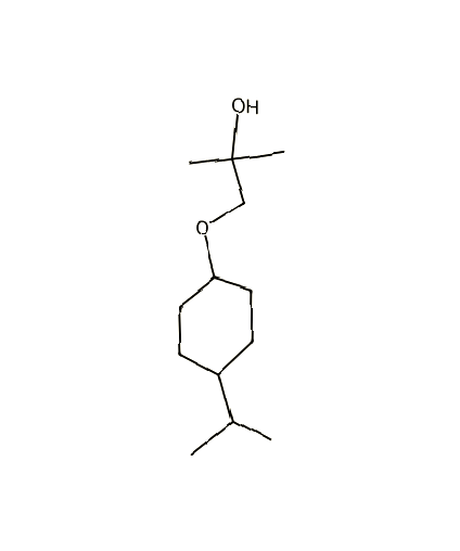 CC(C)C1CCC(OCC(C)(C)O)CC1